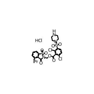 CC(C)c1cccc2c1C(=O)N(COC(=O)c1c(Cl)ccc(S(=O)(=O)N3CCNCC3)c1Cl)S2(=O)=O.Cl